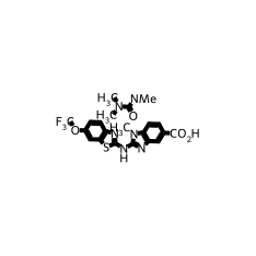 CNC(=O)N(C)C.Cn1c(Nc2nc3ccc(OC(F)(F)F)cc3s2)nc2cc(C(=O)O)ccc21